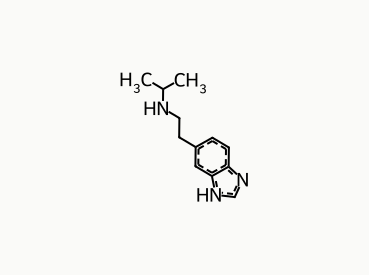 CC(C)NCCc1ccc2nc[nH]c2c1